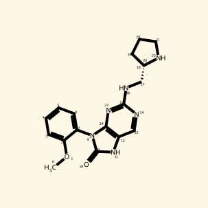 COc1ccccc1-n1c(=O)[nH]c2cnc(NC[C@@H]3CCCN3)nc21